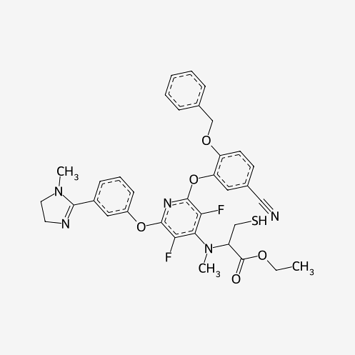 CCOC(=O)C(CS)N(C)c1c(F)c(Oc2cccc(C3=NCCN3C)c2)nc(Oc2cc(C#N)ccc2OCc2ccccc2)c1F